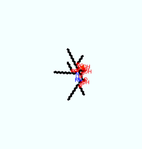 CCCCCCCCCCC[C@H](CC(=O)NC1C(OC(=O)C[C@@H](CCCCCCCCCCC)OCCCCCC)[C@H](OP(=O)(O)O)C(CO)O[C@H]1OC[C@H](NC(=O)C[C@@H](CCCCCCCCCCC)OCCCCCC)C(=O)O)OCCCCCC